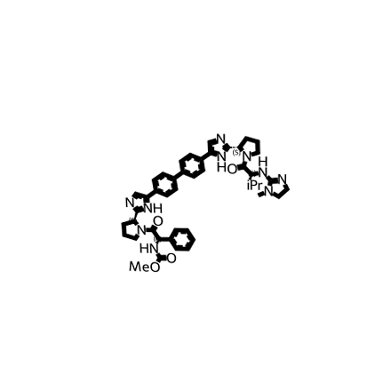 COC(=O)N[C@@H](C(=O)N1CCC[C@H]1c1ncc(-c2ccc(-c3ccc(-c4cnc([C@@H]5CCCN5C(=O)[C@@H](NC5=NCCN5C)C(C)C)[nH]4)cc3)cc2)[nH]1)c1ccccc1